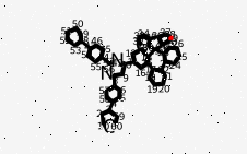 c1ccc(-c2ccc(-c3cc(-c4ccc5c(c4)-c4ccccc4-c4ccccc4C54c5ccccc5-c5ccccc54)nc(-c4ccc(-c5ccccc5)cc4)n3)cc2)cc1